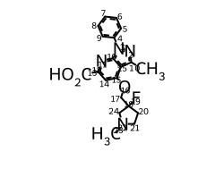 Cc1nn(-c2ccccc2)c2nc(C(=O)O)cc(OCC3(F)CCN(C)C3)c12